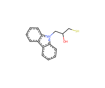 OC(CS)Cn1c2ccccc2c2ccccc21